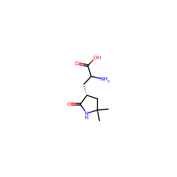 CC1(C)C[C@@H](CC(N)C(=O)O)C(=O)N1